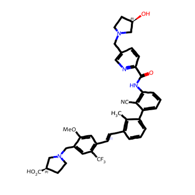 COc1cc(/C=C/c2cccc(-c3cccc(NC(=O)c4ccc(CN5CC[C@@H](O)C5)cn4)c3C#N)c2C)c(C(F)(F)F)cc1CN1CC[C@@H](C(=O)O)C1